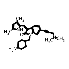 Cc1cc(C)c(/C=C2\C(=O)N(CC3CCC(N)CC3)c3cc(C#CCN(C)C)ccc32)[nH]1